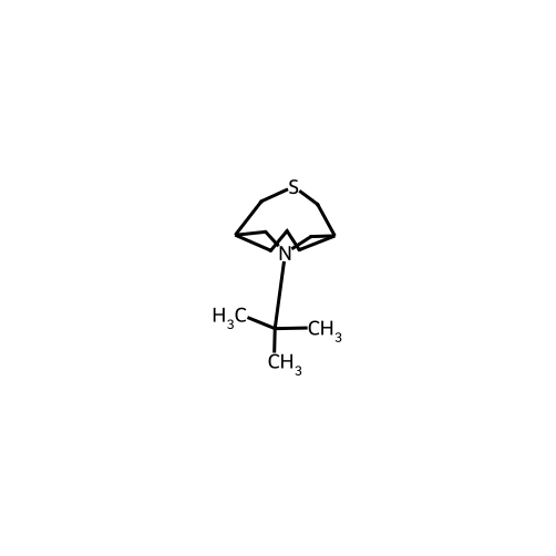 CC(C)(C)N1CC2CCCC(CSC2)C1